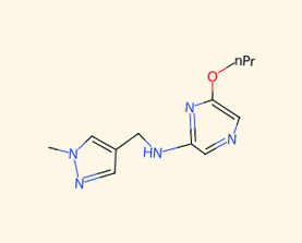 CCCOc1cncc(NCc2cnn(C)c2)n1